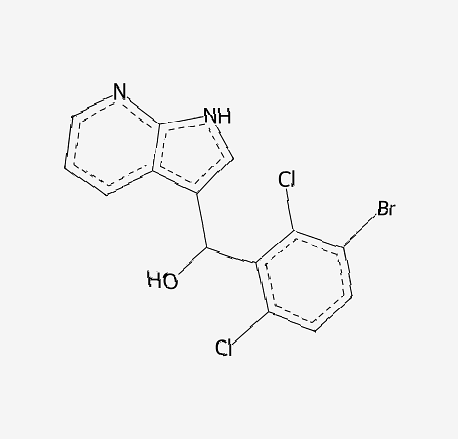 OC(c1c(Cl)ccc(Br)c1Cl)c1c[nH]c2ncccc12